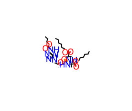 CCCCCCOC(=O)C(C)(C)NP(=O)(CO[C@H](C)Cn1cnc2c(NC(=O)OCCC)ncnc21)NC(C)(C)C(=O)OCCCCCC